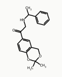 CC(NCC(=O)c1ccc2c(c1)COC(C)(C)O2)c1ccccc1